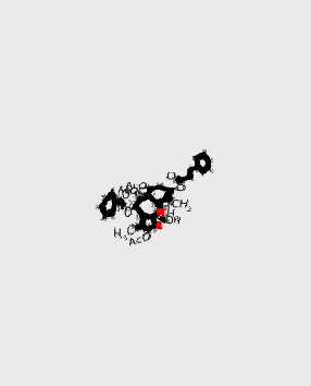 C=C1[C@@H](OC(=O)/C=C/c2ccccc2)C[C@H](OC(C)=O)[C@]2(C)[C@@H]1C[C@]1(C(C)(C)O)C[C@H](OC(C)=O)C(C)=C1[C@@H](OC(=O)c1ccccc1)[C@@H]2OC(C)=O